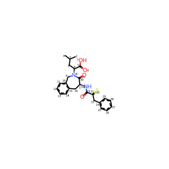 CC(C)CC(C(=O)O)N1Cc2ccccc2CC(NC(=O)C(=S)Cc2ccccc2)C1=O